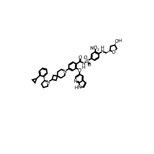 O=C(NS(=O)(=O)c1ccc(NC[C@H]2C[C@H](O)CO2)c([N+](=O)[O-])c1)c1ccc(N2CCC3(CC2)CC(N2CCC[C@H]2c2ccccc2C2CC2)C3)cc1Oc1cnc2[nH]ccc2c1